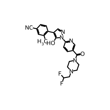 Cc1cc(C#N)ccc1-c1cnn(-c2ccc(C(=O)N3CCN(CC(F)F)CC3)cn2)c1O